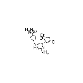 CCOc1ccc(Cl)cc1-c1cc(Nc2ccc(S(N)(=O)=O)cc2)nc(N)n1